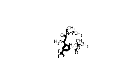 CC(C)(C)OC=O.CCON(CC)C(=O)CC(N)c1cccc(C(F)(F)F)c1